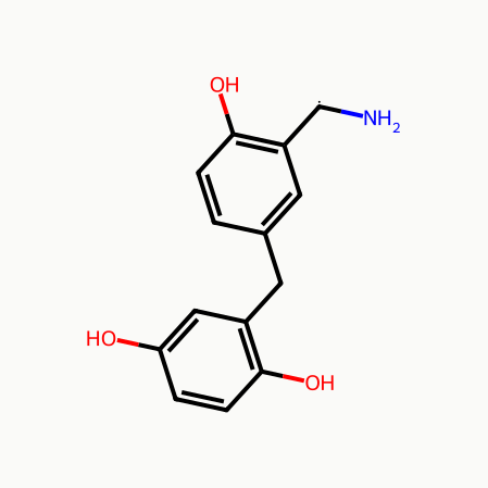 N[CH]c1cc(Cc2cc(O)ccc2O)ccc1O